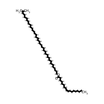 CCCCCCCC/C=C\CCCCCCCC(=O)OCCCCCCCCCCCCCCCCCCCCCCCCCCCCCCCCCCCCCC(C)C